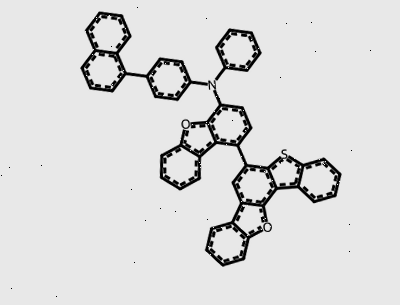 c1ccc(N(c2ccc(-c3cccc4ccccc34)cc2)c2ccc(-c3cc4c5ccccc5oc4c4c3sc3ccccc34)c3c2oc2ccccc23)cc1